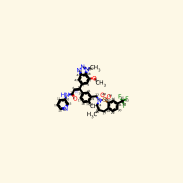 COc1cc(/C(=C/C(=O)Nc2cccnc2)c2ccc(C)c(CN3C[C@@H](C)Cc4ccc(C(F)(F)F)cc4S3(=O)=O)c2)cc2nnn(C)c12